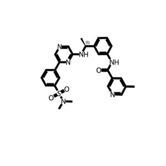 Cc1cncc(C(=O)Nc2cccc([C@H](C)Nc3cncc(-c4cccc(S(=O)(=O)N(C)C)c4)n3)c2)c1